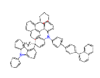 CC1(c2cccc3c2c2ccccc2n3-c2ccccc2)C=CC(N(c2ccc(-c3ccc(-c4cccc5ccccc45)cc3)cc2)c2ccccc2-c2cccc3cccc(C4CCCCC4)c23)=CC1